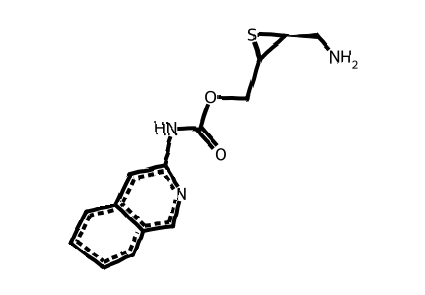 NC[C@@H]1SC1COC(=O)Nc1cc2ccccc2cn1